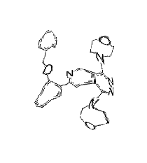 c1ccc(COc2ccccc2-c2cc3c(N4CCOCC4)nnc(N4CCOCC4)c3cn2)cc1